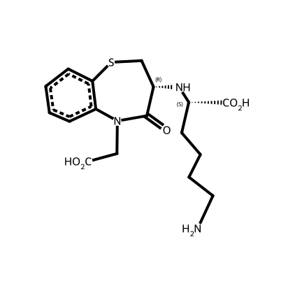 NCCCC[C@H](N[C@H]1CSc2ccccc2N(CC(=O)O)C1=O)C(=O)O